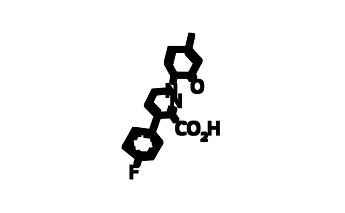 CC1=CC(=O)C(N2CC=C(c3ccc(F)cc3)C(C(=O)O)=N2)C=C1